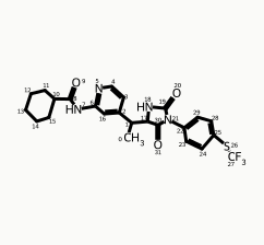 CC(c1ccnc(NC(=O)C2CCCCC2)c1)C1NC(=O)N(c2ccc(SC(F)(F)F)cc2)C1=O